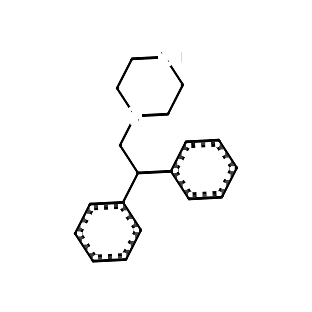 c1ccc(C(CN2CCNCC2)c2ccccc2)cc1